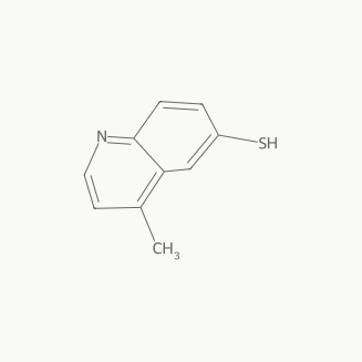 Cc1ccnc2ccc(S)cc12